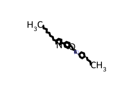 CCCCCCCCCc1ccc(-c2ccc(OC/C=C/[C@H]3CC[C@H](CCCCC)CC3)cc2)nc1